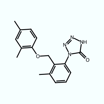 Cc1ccc(OCc2c(C)cccc2-n2nn[nH]c2=O)c(C)c1